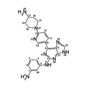 Nc1cccc(Nc2nc(-c3ccc(N4CCC(N)CC4)nc3)c3nc[nH]c3n2)c1